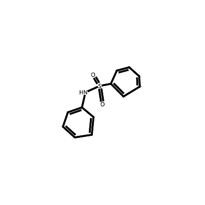 O=S(=O)(Nc1ccccc1)c1c[c]ccc1